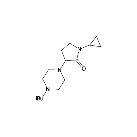 CCC(C)N1CCN(C2CCN(C3CC3)C2=O)CC1